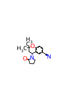 CC1(C)C[C@H](N2CCCC2=O)c2cc(C#N)ccc2O1